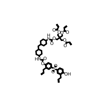 C=CCc1cc(S(=O)(=O)c2ccc(OC(=O)NC3CCC(CC4CCC(NC(=O)OCC(COC(=O)C=C)(COC(=O)C=C)COC(=O)C=C)CC4)CC3)c(CC=C)c2)ccc1O